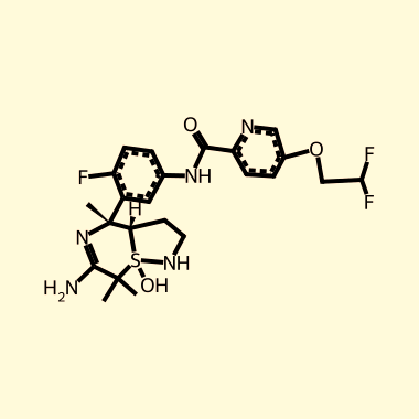 CC1(C)C(N)=N[C@](C)(c2cc(NC(=O)c3ccc(OCC(F)F)cn3)ccc2F)[C@@H]2CCNS21O